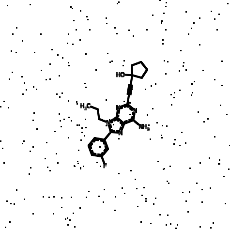 CCCn1c(-c2cccc(F)c2)nc2c(N)nc(C#CC3(O)CCCC3)nc21